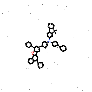 CC1(C)c2ccccc2-c2ccc(N(c3ccc(-c4ccccc4)cc3)c3ccc(-c4cc(-c5ccccc5)c5oc6c7ccccc7c(-c7ccccc7)cc6c5c4)cc3)cc21